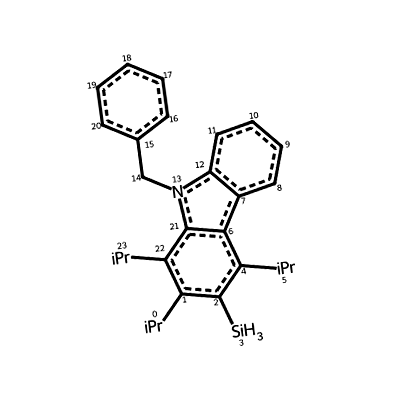 CC(C)c1c([SiH3])c(C(C)C)c2c3ccccc3n(Cc3ccccc3)c2c1C(C)C